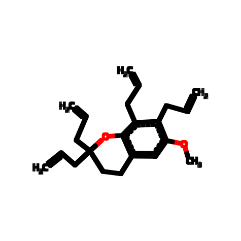 C=CCc1c(OC)cc2c(c1CC=C)OC(CC=C)(CC=C)CC2